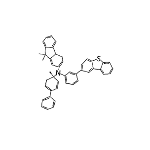 CC1(C)C2=CC(N(c3cccc(-c4ccc5sc6ccccc6c5c4)c3)[C@]3(C)C=CC(c4ccccc4)=CC3)=CCC2c2ccccc21